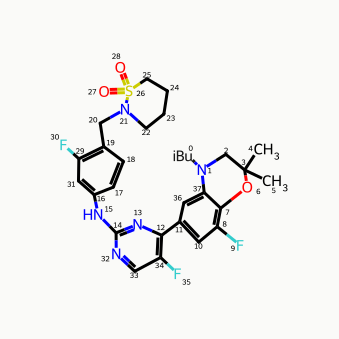 CCC(C)N1CC(C)(C)Oc2c(F)cc(-c3nc(Nc4ccc(CN5CCCCS5(=O)=O)c(F)c4)ncc3F)cc21